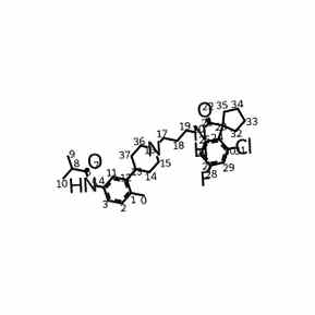 Cc1ccc(NC(=O)C(C)C)cc1C1CCN(CCCNC(=O)C2(c3ccc(F)cc3Cl)CCCC2)CC1